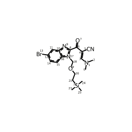 CN(C)C=C(C#N)C(=O)c1nc2cc(Br)ccc2n1COCC[Si](C)(C)C